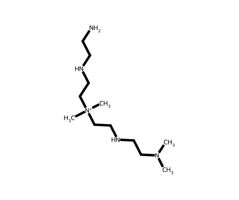 CN(C)CCNCC[N+](C)(C)CCNCCN